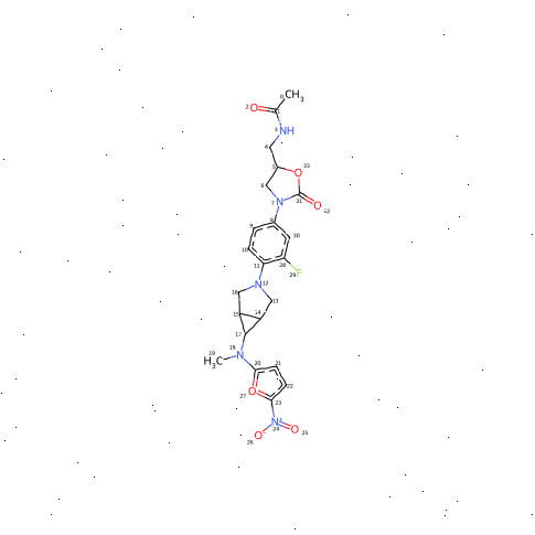 CC(=O)NCC1CN(c2ccc(N3CC4C(C3)C4N(C)c3ccc([N+](=O)[O-])o3)c(F)c2)C(=O)O1